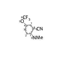 CNc1ccc(OC(F)(F)F)cc1C#N